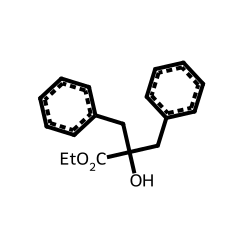 CCOC(=O)C(O)(Cc1ccccc1)Cc1ccccc1